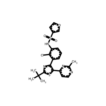 Cc1nccc(-c2sc(C(C)(C)C)nc2-c2cccc(NS(=O)(=O)c3ccoc3)c2Cl)n1